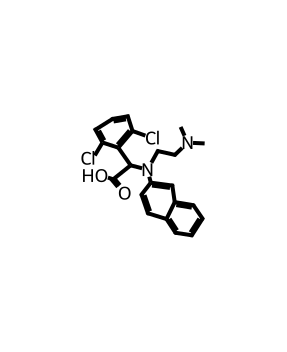 CN(C)CCN(c1ccc2ccccc2c1)C(C(=O)O)c1c(Cl)cccc1Cl